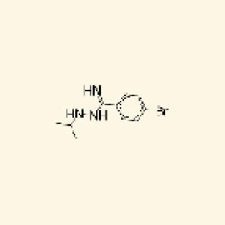 CC(C)NNC(=N)c1ccc(Br)cc1